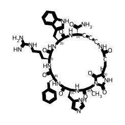 C[C@@H]1C(=O)N[C@@H](Cc2cnc[nH]2)C(=O)N[C@H](Cc2ccccc2)C(=O)N[C@@H](CCCNC(=N)N)C(=O)N[C@@H](Cc2c[nH]c3ccccc23)C(=O)N[C@H](C(N)=O)CCCNC(=O)CC[C@@H]2NC(=O)N1C2=O